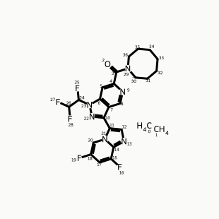 C.C.O=C(c1cc2c(cn1)c(-c1cnc3c(F)cc(F)cn13)nn2C(F)C(F)F)N1[CH]CCCCCC1